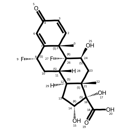 C[C@]12C=CC(=O)C=C1[C@@H](F)C[C@H]1[C@@H]3C[C@@H](O)[C@](O)(C(=O)O)[C@@]3(C)C[C@H](O)[C@@]12F